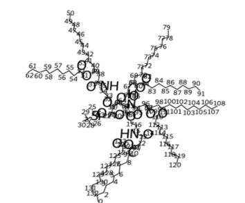 CCCCCCCCCCC[C@H](CC(=O)NCCO[C@H]1O[C@H](CO[Si](C)(C)C(C)(C)C)[C@@H](OCCNC(=O)C[C@@H](CCCCCCCCCCC)OC(=O)CCCCCCCCC)[C@H](OC(=O)C[C@@H](CCCCCCCCCCC)OC(=O)CCCCCCCCC)[C@@H]1NC(=O)C[C@@H](CCCCCCCCCCC)OC(=O)CCCCCCCCC)OC(=O)CCCCCCCCC